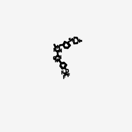 Cc1nc(-c2nc(-c3ccc(OC(F)(F)F)cc3)no2)nn1Cc1cccc(SN2CCN(C)CC2)c1